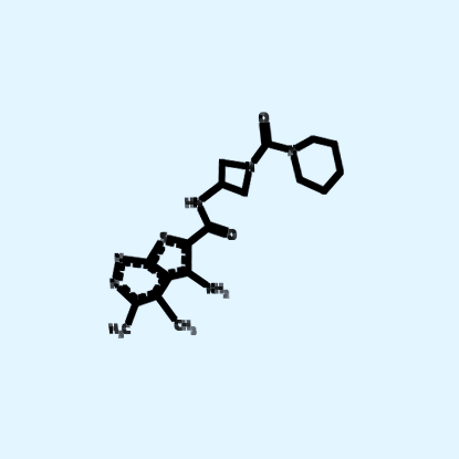 Cc1nnc2sc(C(=O)NC3CN(C(=O)N4CCCCC4)C3)c(N)c2c1C